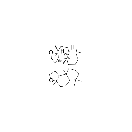 CC1(C)CCCC2(C)C1CCC1(C)OCCC12.CC1(C)CCC[C@]2(C)[C@H]3CCO[C@]3(C)CC[C@@H]12